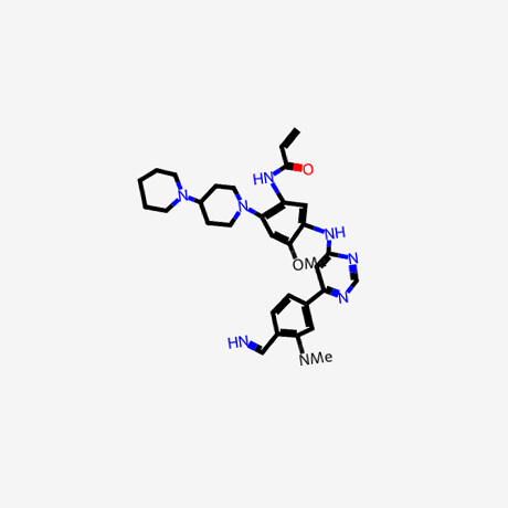 C=CC(=O)Nc1cc(Nc2cc(-c3ccc(C=N)c(NC)c3)ncn2)c(OC)cc1N1CCC(N2CCCCC2)CC1